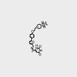 CN(/N=C/c1ccc(-c2ccc(OCCN3CCN(S(=O)(=O)N(C)C)CC3)cc2)o1)c1cc(=O)n(C)c(=O)[nH]1